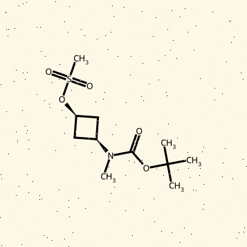 CN(C(=O)OC(C)(C)C)[C@H]1C[C@@H](OS(C)(=O)=O)C1